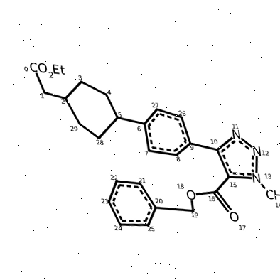 CCOC(=O)CC1CCC(c2ccc(-c3nnn(C)c3C(=O)OCc3ccccc3)cc2)CC1